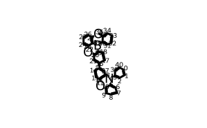 c1ccc(N2c3ccccc3Oc3ccc(-c4ccc5c(c4)Oc4cccc6c4B5c4ccccc4O6)cc32)cc1